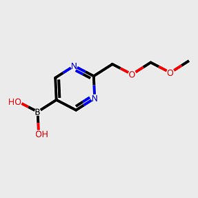 COCOCc1ncc(B(O)O)cn1